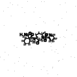 C[C@@H]1CC[C@H](NC(=O)C2(C(N)=O)CCCCC2)C(=O)CN1S(=O)(=O)c1ccccn1